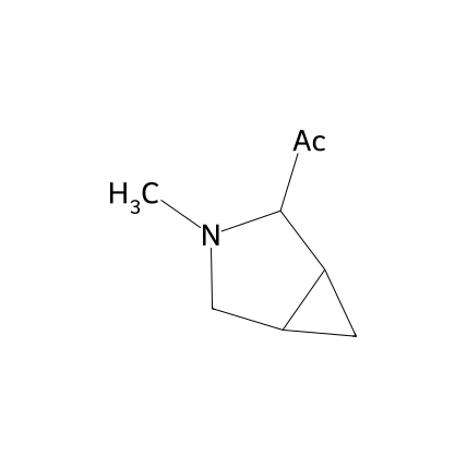 CC(=O)C1C2CC2CN1C